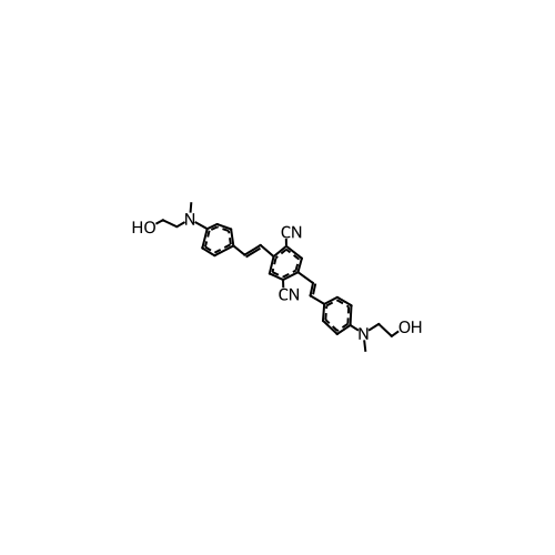 CN(CCO)c1ccc(C=Cc2cc(C#N)c(C=Cc3ccc(N(C)CCO)cc3)cc2C#N)cc1